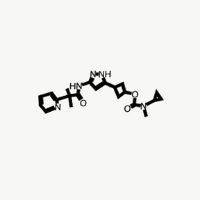 CN(C(=O)OC1CC(c2cc(NC(=O)C(C)(C)c3ccccn3)n[nH]2)C1)C1CC1